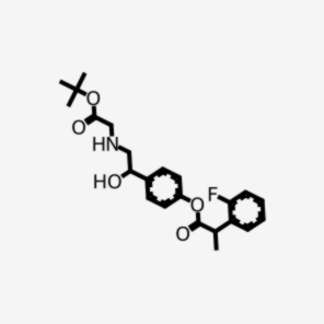 CC(C(=O)Oc1ccc(C(O)CNCC(=O)OC(C)(C)C)cc1)c1ccccc1F